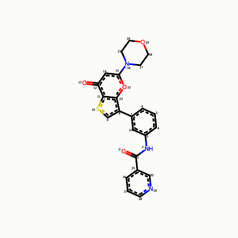 O=C(Nc1cccc(-c2csc3c(=O)cc(N4CCOCC4)oc23)c1)c1cccnc1